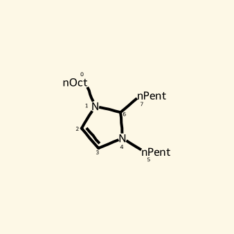 CCCCCCCCN1C=CN(CCCCC)C1CCCCC